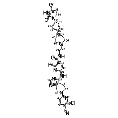 N#Cc1ccc(N2CCc3c(ncnc3Nc3ccc(C(=O)NCCN4CCN(c5ccc(N6CCC(=O)NC6=O)cc5)CC4)c(F)n3)C2)nc1Cl